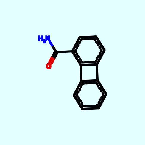 NC(=O)c1cccc2c1-c1ccccc1-2